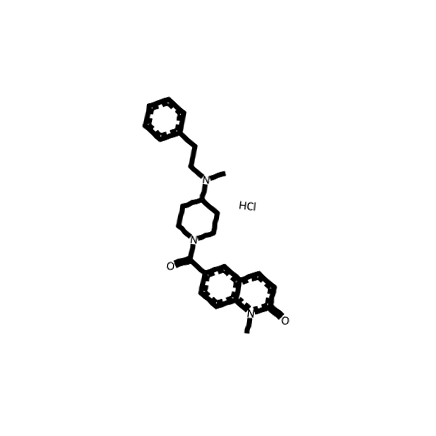 CN(CCc1ccccc1)C1CCN(C(=O)c2ccc3c(ccc(=O)n3C)c2)CC1.Cl